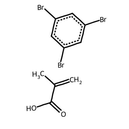 Brc1cc(Br)cc(Br)c1.C=C(C)C(=O)O